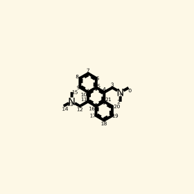 CN(C)Cc1c2ccccc2c(CN(C)C)c2ccccc12